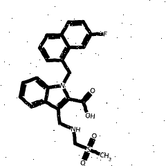 CS(=O)(=O)CNCc1c(C(=O)O)n(Cc2cccc3ccc(F)cc23)c2ccccc12